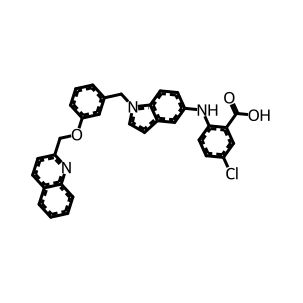 O=C(O)c1cc(Cl)ccc1Nc1ccc2c(ccn2Cc2cccc(OCc3ccc4ccccc4n3)c2)c1